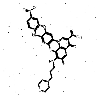 O=C(O)c1cn2c3cc4oc5cc([N+](=O)[O-])ccc5[nH]c4cc3oc3c(NCCCN4CCOCC4)c(F)cc(c1=O)c32